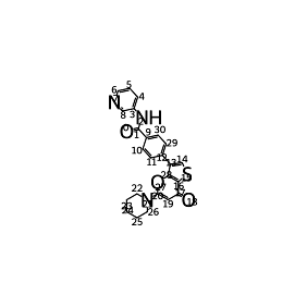 O=C(Nc1cccnc1)c1ccc(-c2csc3c(=O)cc(N4CCCCC4)oc23)cc1